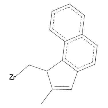 CC1=Cc2ccc3ccccc3c2C1[CH2][Zr]